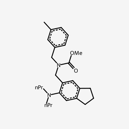 CCCN(CCC)c1cc2c(cc1CN(Cc1cccc(C)c1)C(=O)OC)CCC2